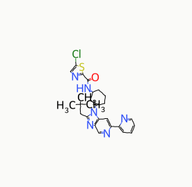 CC(C)(C)Cc1nc2cnc(-c3ccccn3)cc2n1[C@@H]1CCC[C@H](NC(=O)c2ncc(Cl)s2)C1